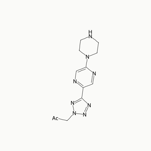 CC(=O)Cn1nnc(-c2cnc(N3CCNCC3)cn2)n1